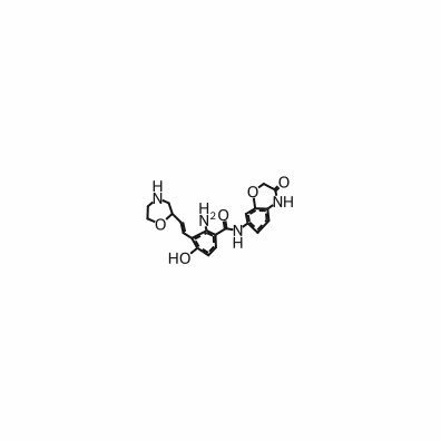 Nc1c(C(=O)Nc2ccc3c(c2)OCC(=O)N3)ccc(O)c1C=CC1CNCCO1